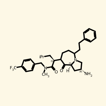 CC(C)C[C@H](C(=O)N(C)Cc1ccc(C(F)(F)F)cc1)C1CCC(CCc2ccccc2)N2C[C@H](N)C[C@H]2C1=O